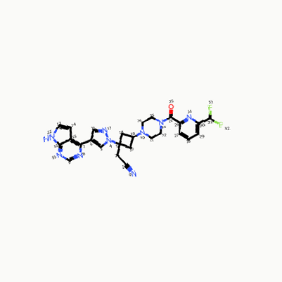 N#CCC1(n2cc(-c3ncnc4[nH]ccc34)cn2)CC(N2CCN(C(=O)c3cccc(C(F)F)n3)CC2)C1